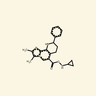 Cc1nc2c3c(c(C(=O)ONC4CC4)cn2c1C)CCC(c1ccccc1)N3